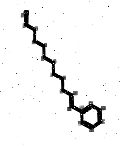 O=[C]CCCCCCCC/C=C/c1ccccc1